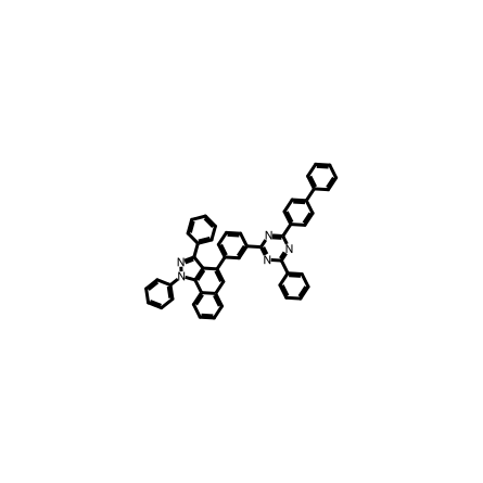 c1ccc(-c2ccc(-c3nc(-c4ccccc4)nc(-c4cccc(-c5cc6ccccc6c6c5c(-c5ccccc5)nn6-c5ccccc5)c4)n3)cc2)cc1